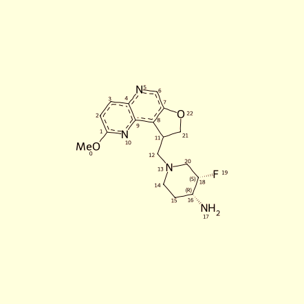 COc1ccc2ncc3c(c2n1)C(CN1CC[C@@H](N)[C@@H](F)C1)CO3